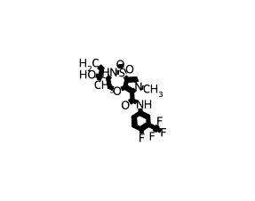 C=CC(C)(O)[C@H]1COc2c(cn(C)c2C(=O)Nc2ccc(F)c(C(F)(F)F)c2)S(=O)(=O)N1